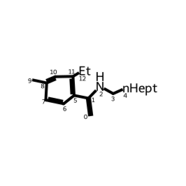 C=C(NCCCCCCCC)c1ccc(C)cc1CC